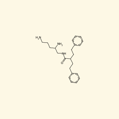 NCCCC(N)CNC(=O)C(CCc1ccccc1)CCc1ccccc1